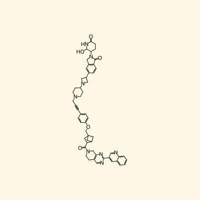 O=C1CCC(N2Cc3cc(C4CN(C5CCN(CC#Cc6ccc(OCC78CC(C7)C(C(=O)N7CCc9cnc(-c%10cnc%11ccccc%11c%10)nc9C7)C8)cc6)CC5)C4)ccc3C2=O)C(O)N1